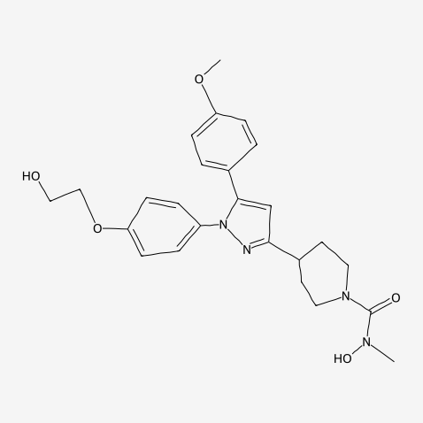 COc1ccc(-c2cc(C3CCN(C(=O)N(C)O)CC3)nn2-c2ccc(OCCO)cc2)cc1